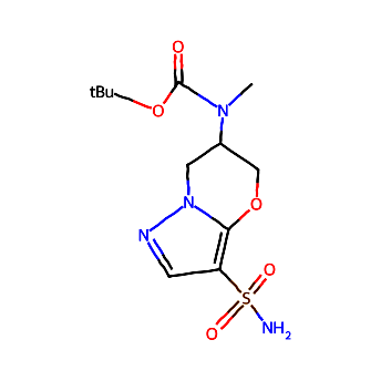 CN(C(=O)OC(C)(C)C)C1COc2c(S(N)(=O)=O)cnn2C1